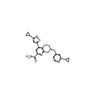 NC(=O)c1cc(-c2cc(C3CC3)ns2)c2c(n1)CN(Cc1ccnc(C3CC3)c1)CC2